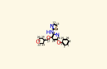 c1ccc(Oc2cnc(Nc3nccs3)c(OCC3CCOCC3)c2)cc1